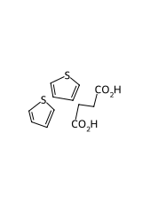 O=C(O)CCC(=O)O.c1ccsc1.c1ccsc1